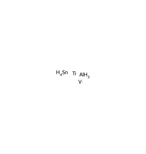 [AlH3].[SnH4].[Ti].[V]